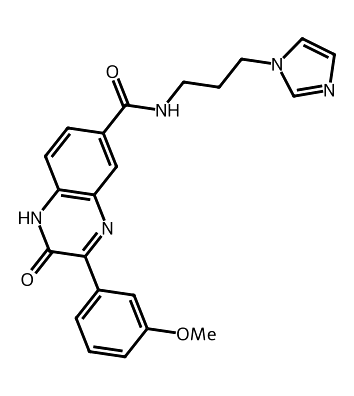 COc1cccc(-c2nc3cc(C(=O)NCCCn4ccnc4)ccc3[nH]c2=O)c1